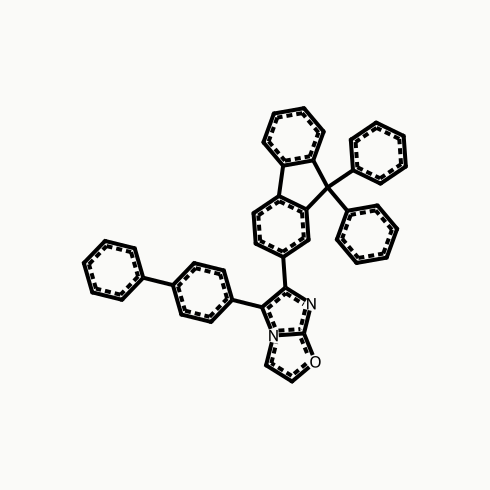 c1ccc(-c2ccc(-c3c(-c4ccc5c(c4)C(c4ccccc4)(c4ccccc4)c4ccccc4-5)nc4occn34)cc2)cc1